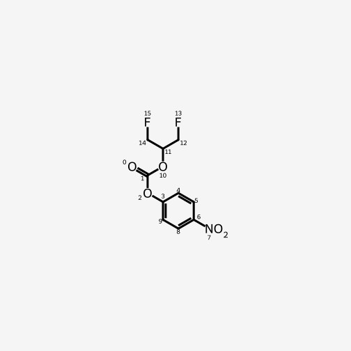 O=C(Oc1ccc([N+](=O)[O-])cc1)OC(CF)CF